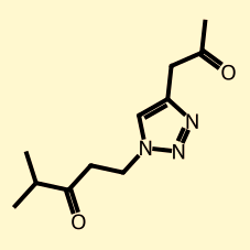 CC(=O)Cc1cn(CCC(=O)C(C)C)nn1